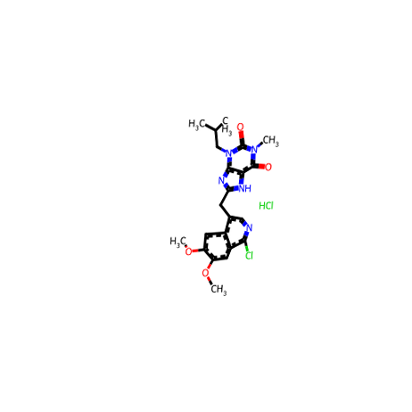 COc1cc2c(Cc3nc4c([nH]3)c(=O)n(C)c(=O)n4CC(C)C)cnc(Cl)c2cc1OC.Cl